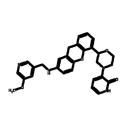 COc1cncc(CNc2ccc3c(c2)Cc2cccc(C4CN(c5ccc[nH]c5=O)CCO4)c2O3)c1